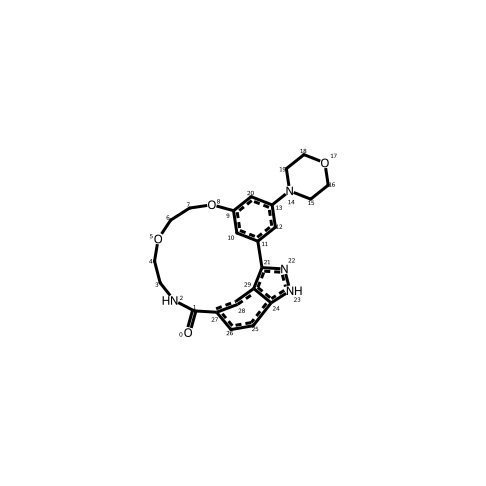 O=C1NCCOCCOc2cc(cc(N3CCOCC3)c2)-c2n[nH]c3ccc1cc23